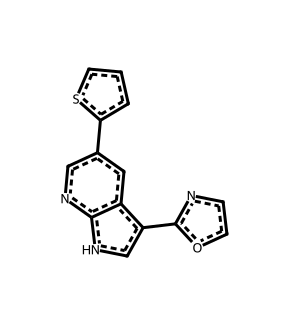 c1csc(-c2cnc3[nH]cc(-c4ncco4)c3c2)c1